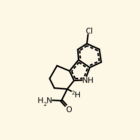 [2H]C1(C(N)=O)CCCc2c1[nH]c1ccc(Cl)cc21